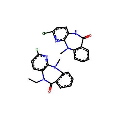 CCN1C(=O)c2ccccc2N(C)c2nc(Cl)ccc21.CN1c2ccccc2C(=O)Nc2ccc(Cl)nc21